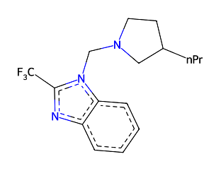 CCCC1CCN(Cn2c(C(F)(F)F)nc3ccccc32)C1